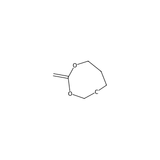 C=C1OCCCCCO1